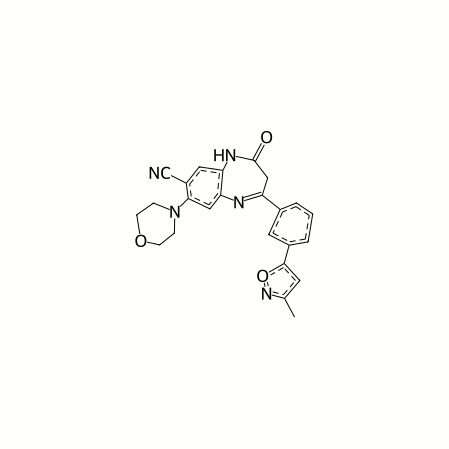 Cc1cc(-c2cccc(C3=Nc4cc(N5CCOCC5)c(C#N)cc4NC(=O)C3)c2)on1